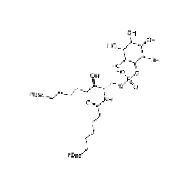 CCCCCCCCCCCCCCCC(=O)N[C@@H](COP(=O)(O)OC1C(O)C(O)C(O)[C@@H](O)C1O)[C@H](O)CCCCCCCCCCCCCCC